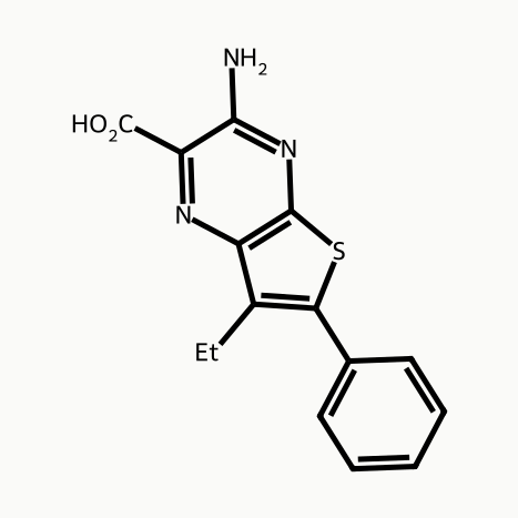 CCc1c(-c2ccccc2)sc2nc(N)c(C(=O)O)nc12